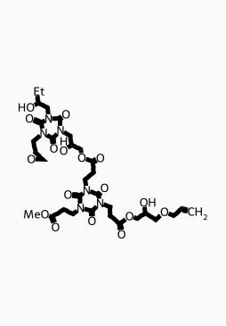 C=CCOCC(O)COC(=O)CCn1c(=O)n(CCC(=O)OC)c(=O)n(CCC(=O)OCC(O)Cn2c(=O)n(CC(O)CC)c(=O)n(CC3CO3)c2=O)c1=O